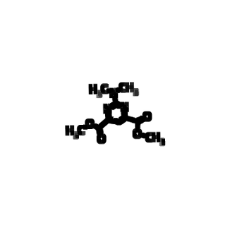 COC(=O)c1cc(C(=O)OC)nc(N(C)C)n1